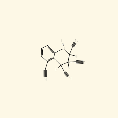 N#Cc1cccc2c1C(F)(C#N)C(F)(C#N)C(F)(C#N)N2F